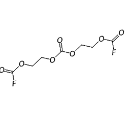 O=C(F)OCCOC(=O)OCCOC(=O)F